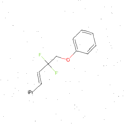 CC(C)/C=C/C(F)(F)COc1ccccc1